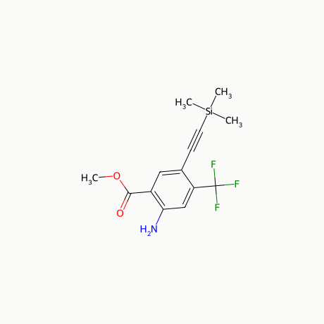 COC(=O)c1cc(C#C[Si](C)(C)C)c(C(F)(F)F)cc1N